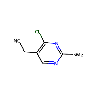 CSc1ncc(CC#N)c(Cl)n1